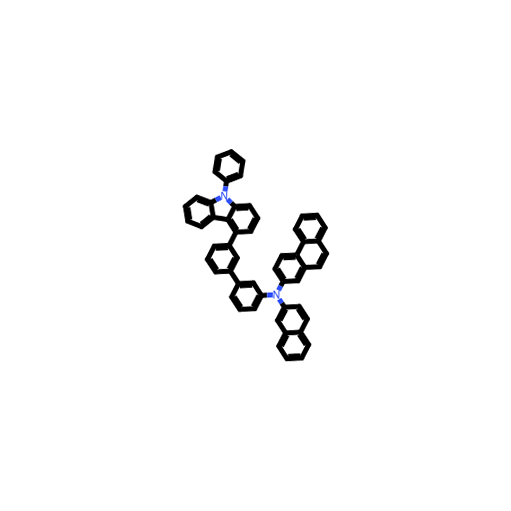 c1ccc(-n2c3ccccc3c3c(-c4cccc(-c5cccc(N(c6ccc7ccccc7c6)c6ccc7c(ccc8ccccc87)c6)c5)c4)cccc32)cc1